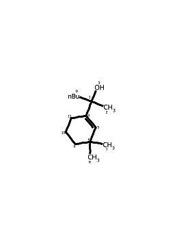 CCCCC(C)(O)C1=CC(C)(C)CCC1